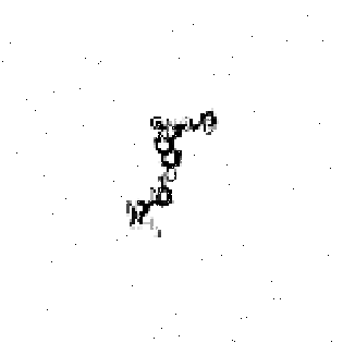 Cn1cc(-c2cccc(COc3ccc4c(c3)CCn3c-4cc(OCC4CCCO4)nc3=O)n2)cn1